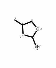 CCCC1OCC(C)O1